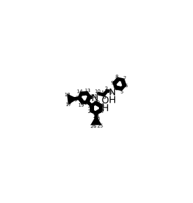 OC(CNc1ccccc1)Cn1c2ccc(C3CC3)cc2c2cc(C3CC3)ccc21